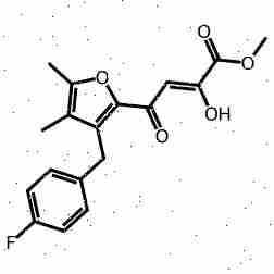 COC(=O)/C(O)=C/C(=O)c1oc(C)c(C)c1Cc1ccc(F)cc1